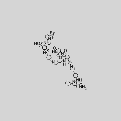 CC(C)(O)c1cc2nc([C@H]3CC[C@H](CN4CCC(CCNc5c(N6CC(N7CCC(c8ccc(Nc9nc(N%10CCCCC%10)cnc9C(N)=O)cc8)CC7)C6)ccc6c5C(=O)N(C5CCC(=O)NC5=O)C6=O)CC4)CC3)sc2cc1NC(=O)c1cccc(C(F)(F)F)n1